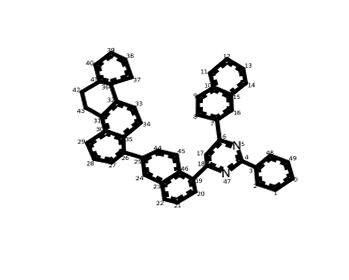 c1ccc(-c2nc(-c3ccc4ccccc4c3)cc(-c3cccc4cc(-c5cccc6c7c(ccc56)-c5ccccc5CC7)ccc34)n2)cc1